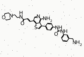 NCc1cccc(NC(=O)Nc2ccc(-c3csc4c(C=CC(=O)NCCN5CCOCC5)cnc(N)c34)cc2)c1